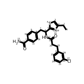 CCc1csc(C(Cc2ccc(C(N)=O)cc2)NC(=O)CCc2cccc(Cl)c2)n1